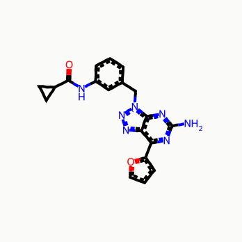 Nc1nc(-c2ccco2)c2nnn(Cc3cccc(NC(=O)C4CC4)c3)c2n1